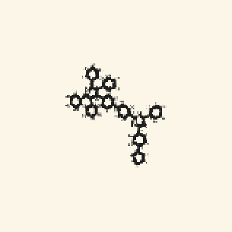 c1ccc(-c2ccc(-c3cc(-c4ccccc4)nc(-c4ccc(-c5ccc(-c6c(-c7ccccc7)c(-c7ccccc7)nc(-c7ccccc7)c6-c6ccccc6)cc5)cc4)n3)cc2)cc1